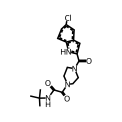 CC(C)(C)NC(=O)C(=O)N1CCN(C(=O)c2cc3cc(Cl)ccc3[nH]2)CC1